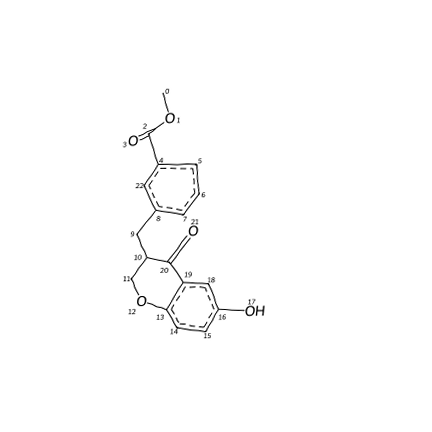 COC(=O)c1cccc(CC2COc3ccc(O)cc3C2=O)c1